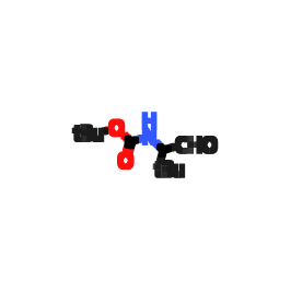 CC(C)(C)OC(=O)NC(C=O)C(C)(C)C